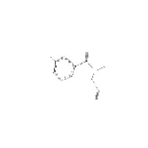 C=CCN(CC)C(=O)c1cccc(C(=O)O)c1